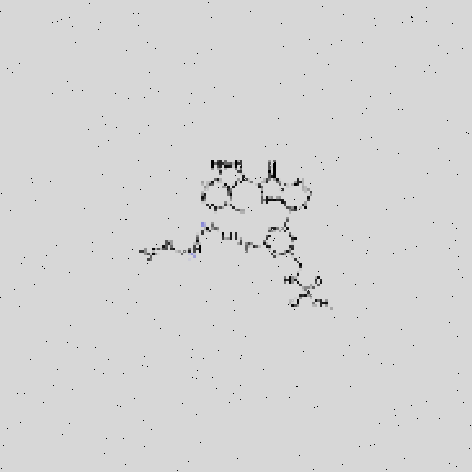 C=N/C=N\C=C(/C)c1cnc2[nH]nc(-c3nc4c(-c5cc(F)cc(CNS(C)(=O)=O)c5)ccnc4[nH]3)c2c1F